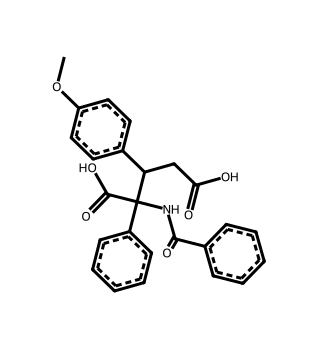 COc1ccc(C(CC(=O)O)C(NC(=O)c2ccccc2)(C(=O)O)c2ccccc2)cc1